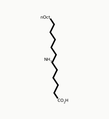 CCCCCCCCCCCCCCCCCCC(=O)O.N